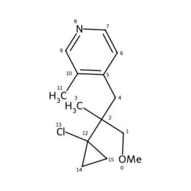 COCC(C)(Cc1ccncc1C)C1(Cl)CC1